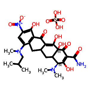 CC(C)CN(C)c1cc([N+](=O)[O-])c(O)c2c1CC1CC3[C@H](N(C)C)C(O)=C(C(N)=O)C(=O)[C@@]3(O)C(O)=C1C2=O.O=S(=O)(O)O